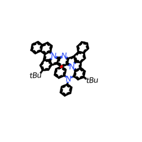 CC(C)(C)c1cc(N(c2ccccc2)c2ccccc2)c2c(c1)c1cc3ccccc3c3c4nc5c(cc4n2c13)c1cc(C(C)(C)C)cc2c3c4ccccc4ccc3n5c12